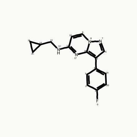 Fc1ccc(-c2cnn3ccc(NCC4CC4)nc23)cc1